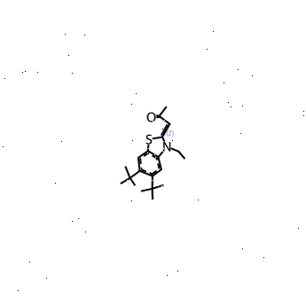 CCN1/C(=C/C(C)=O)Sc2cc(C(C)(C)C)c(C(C)(C)C)cc21